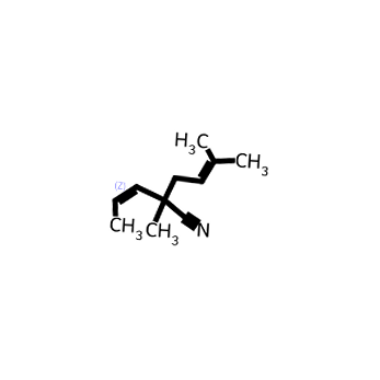 C/C=C\C(C)(C#N)CC=C(C)C